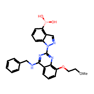 COCCOc1cccc2c(NCc3ccccc3)nc(-n3ncc4c(B(O)O)cccc43)nc12